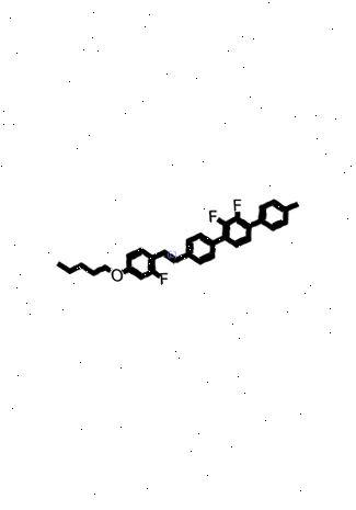 CCCCCOc1ccc(/C=C/c2ccc(-c3ccc(-c4ccc(C)cc4)c(F)c3F)cc2)c(F)c1